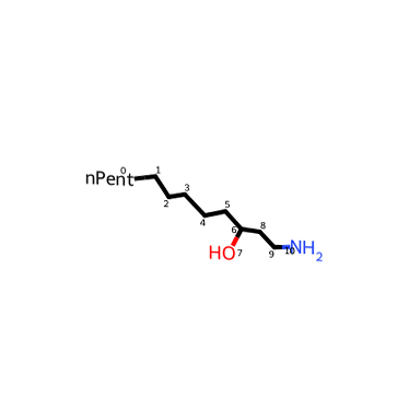 CCCCCCCCCCC(O)CCN